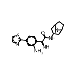 CN1C2CCC1CC(NC(=O)C(=N)c1ccc(-c3nccs3)cc1N)C2